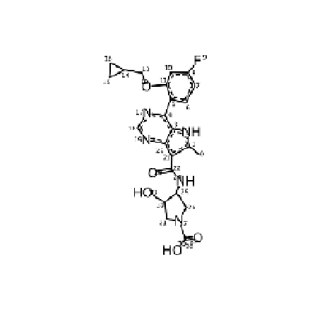 Cc1[nH]c2c(-c3ccc(F)cc3OCC3CC3)ncnc2c1C(=O)NC1CN(C(=O)O)CC1O